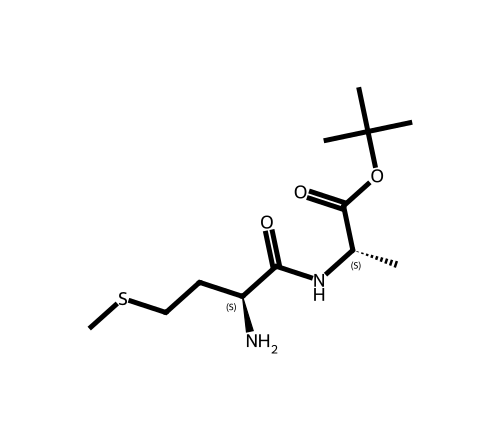 CSCC[C@H](N)C(=O)N[C@@H](C)C(=O)OC(C)(C)C